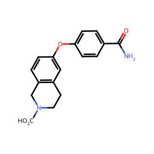 NC(=O)c1ccc(Oc2ccc3c(c2)CCN(C(=O)O)C3)cc1